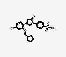 NS(=O)(=O)c1ccc(N2C[C@@H](c3ccc(Cl)cc3OCC3CCCC3)CC2=O)cc1